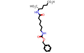 O=C(O)CCC[C@H](NC(=O)CCCCCNC(=O)OCc1ccccc1)C(=O)O